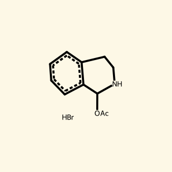 Br.CC(=O)OC1NCCc2ccccc21